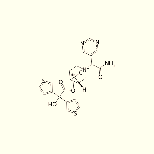 NC(=O)C(c1cncnc1)[N+]12CCC(CC1)[C@@H](OC(=O)C(O)(c1ccsc1)c1ccsc1)C2